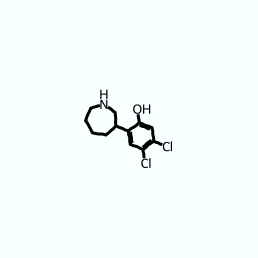 Oc1cc(Cl)c(Cl)cc1C1CCCCNC1